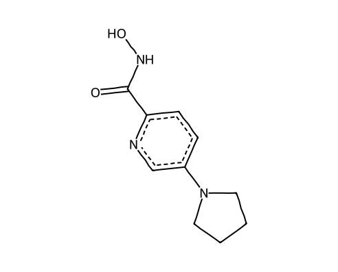 O=C(NO)c1ccc(N2CCCC2)cn1